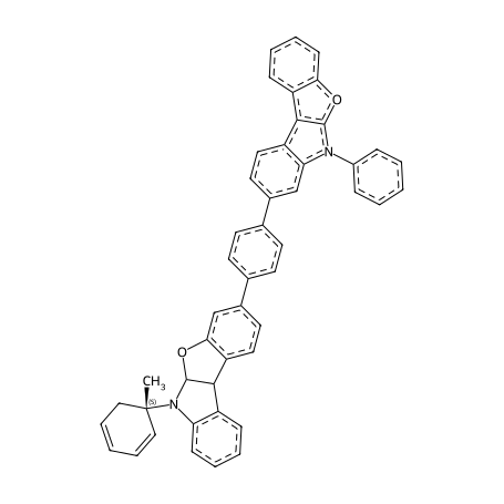 C[C@@]1(N2c3ccccc3C3c4ccc(-c5ccc(-c6ccc7c8c9ccccc9oc8n(-c8ccccc8)c7c6)cc5)cc4OC32)C=CC=CC1